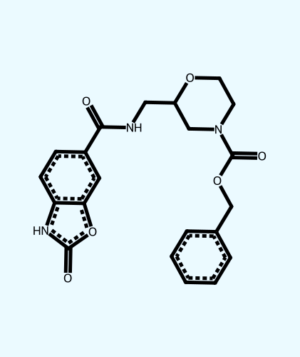 O=C(NCC1CN(C(=O)OCc2ccccc2)CCO1)c1ccc2[nH]c(=O)oc2c1